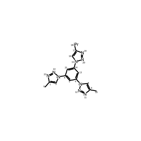 Cc1cn(-c2cc(-n3cc(C)nn3)cc(-n3cc(C(C)C)nn3)c2)nn1